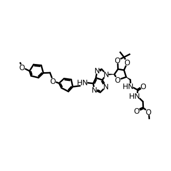 COC(=O)CNC(=O)NC[C@H]1O[C@@H](n2cnc3c(NCc4ccc(OCc5ccc(OC)cc5)cc4)ncnc32)C2OC(C)(C)OC21